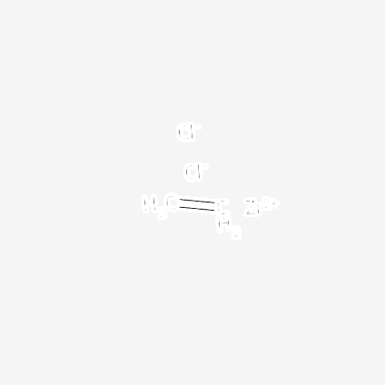 C=C.[Cl-].[Cl-].[Zr+2]